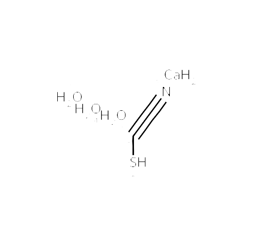 N#CS.O.O.O.[CaH2]